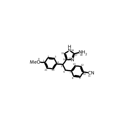 COc1ccc(C(Cc2ccc(C#N)cc2)c2c[nH]c(N)n2)cc1